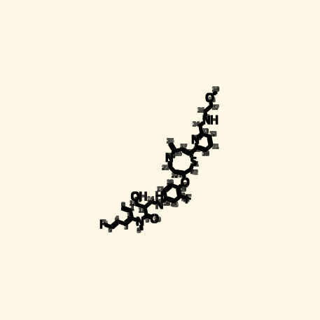 C=C/C(=C\C=C\F)N(C)C(=O)C(CO)CNc1ccc(O/C2=C/C=N\C(=C)/C=C(/c3cccc(CNCCOC)n3)SC2)c(F)c1